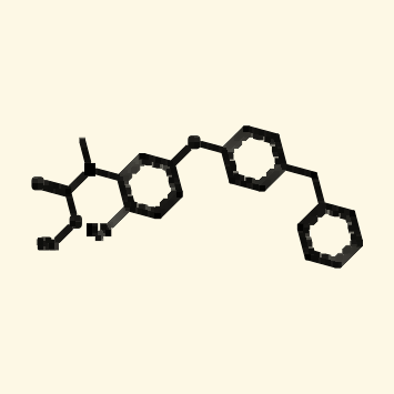 CN(C(=O)OC(C)(C)C)c1cc(Oc2ccc(Cc3ccccc3)cc2)ccc1N